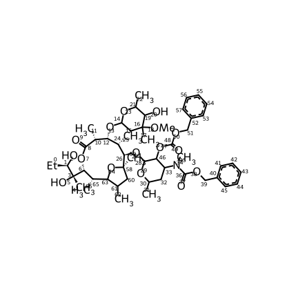 CC[C@@H](O)[C@@](C)(O)[C@@H]1OC(=O)[C@H](C)[C@H](OC2CC(C)(OC)C(O)C(C)O2)[C@H](C)[C@@H](OC2OC(C)CC(N(C)C(=O)OCc3ccccc3)C2OC(=O)OCc2ccccc2)[C@@]2(C)CC(C)C(O2)[C@@H]1C